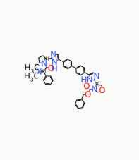 CN(C)[C@@H](C(=O)N1CCC[C@H]1c1ncc(-c2ccc(-c3ccc(-c4cnc([C@@H]5COCN5C(=O)OCc5ccccc5)[nH]4)cc3)cc2)[nH]1)c1ccccc1